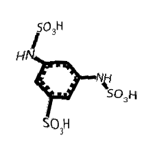 O=S(=O)(O)Nc1cc(NS(=O)(=O)O)cc(S(=O)(=O)O)c1